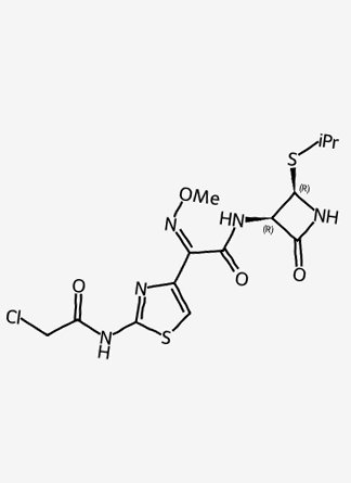 CON=C(C(=O)N[C@@H]1C(=O)N[C@@H]1SC(C)C)c1csc(NC(=O)CCl)n1